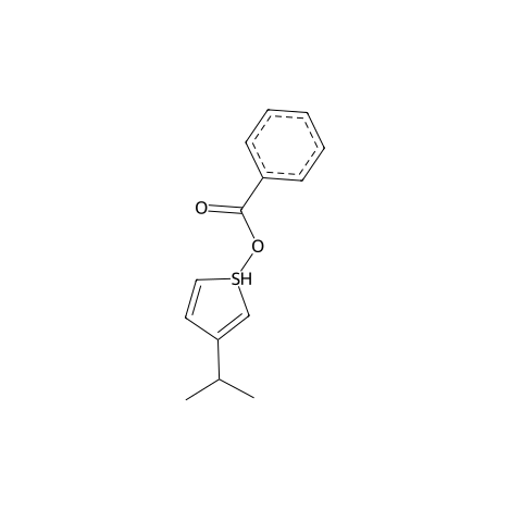 CC(C)C1=C[SH](OC(=O)c2ccccc2)C=C1